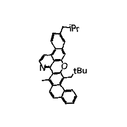 Cc1c2c(c(CC(C)(C)C)c3c1ccc1ccccc13)Oc1cc3cc(CC(C)C)ccc3c3ccnc-2c13